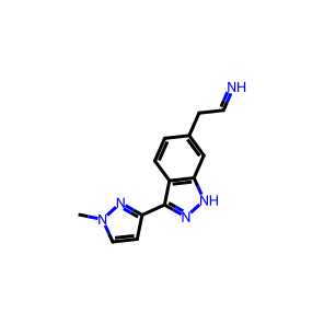 Cn1ccc(-c2n[nH]c3cc(CC=N)ccc23)n1